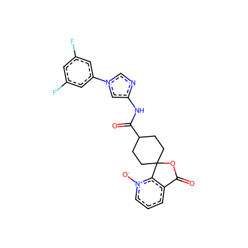 O=C1OC2(CCC(C(=O)Nc3cn(-c4cc(F)cc(F)c4)cn3)CC2)c2c1ccc[n+]2[O-]